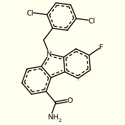 NC(=O)c1cccc2c1c1[c]cc(F)cc1n2Cc1cc(Cl)ccc1Cl